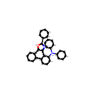 c1ccc(-c2nc3c(o2)c2ccccc2c2cccc(N(c4ccccc4)c4ccccc4)c23)cc1